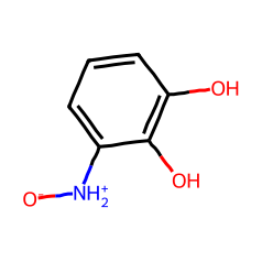 [O-][NH2+]c1cccc(O)c1O